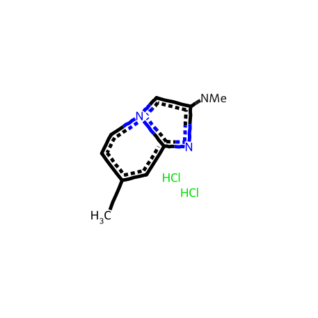 CNc1cn2ccc(C)cc2n1.Cl.Cl